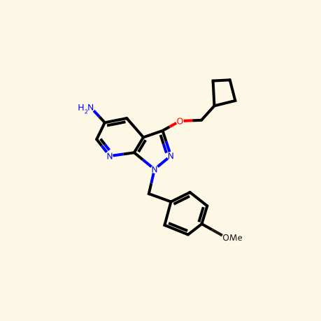 COc1ccc(Cn2nc(OCC3CCC3)c3cc(N)cnc32)cc1